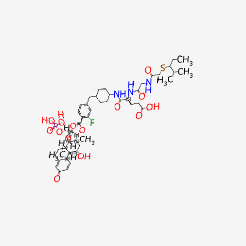 CCC(SCC(=O)NCC(=O)N[C@@H](CCC(=O)O)C(=O)NC1CCC(Cc2ccc([C@@H]3O[C@@H]4C[C@H]5[C@@H]6CCC7=CC(=O)C=C[C@]7(C)[C@H]6[C@@H](O)C[C@]5(C)[C@]4(C(=O)COP(=O)(O)O)O3)c(F)c2)CC1)C(C)C